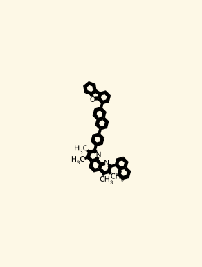 Cc1c(-c2ccc(-c3ccc4cc(-c5cccc6c5oc5ccccc56)ccc4c3)cc2)nc2c(ccc3c(C)c(C)c(-c4cccc5ccccc45)nc32)c1C